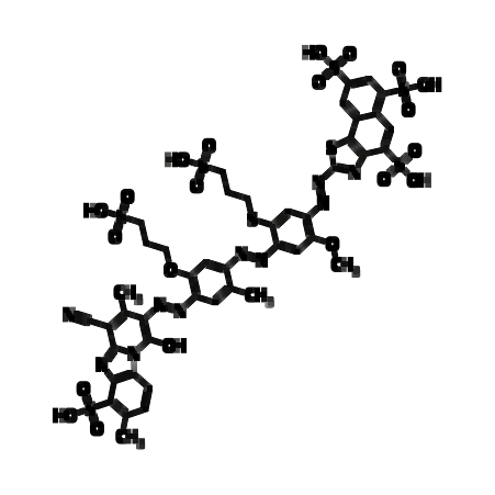 COc1cc(N=Nc2cc(OCCCS(=O)(=O)O)c(N=Nc3c(C)c(C#N)c4nc5c(S(=O)(=O)O)c(C)ccc5n4c3O)cc2C)c(SCCCS(=O)(=O)O)cc1N=Nc1nc2c(S(=O)(=O)O)cc3c(S(=O)(=O)O)cc(S(=O)(=O)O)cc3c2s1